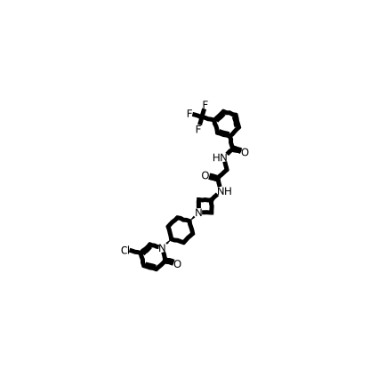 O=C(CNC(=O)c1cccc(C(F)(F)F)c1)NC1CN([C@H]2CC[C@@H](n3cc(Cl)ccc3=O)CC2)C1